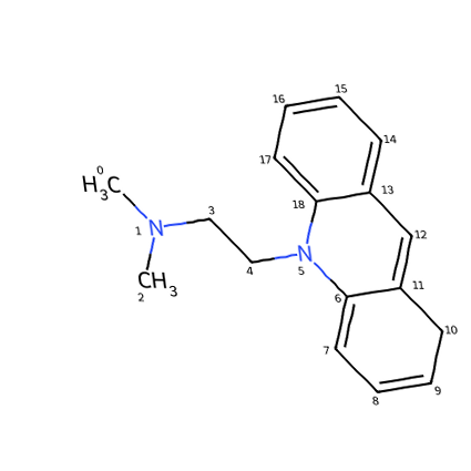 CN(C)CCN1C2=CC=CCC2=Cc2ccccc21